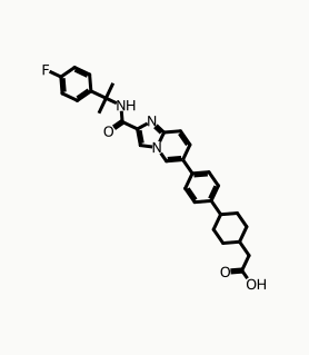 CC(C)(NC(=O)c1cn2cc(-c3ccc(C4CCC(CC(=O)O)CC4)cc3)ccc2n1)c1ccc(F)cc1